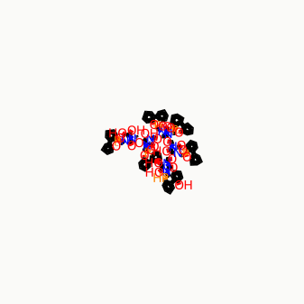 O=C1N(COC2C(O)N(COC3C(OCN4C(=O)N(CP5(=O)Oc6ccccc6-c6ccccc65)C(OCN5C(=O)N(CP6(=O)Oc7ccccc7-c7ccccc76)C(O)C5O)C4O)N(CP4(=O)Oc5ccccc5-c5ccccc54)C(=O)N3CP3(=O)Oc4ccccc4-c4ccccc43)C(=O)N2CP2(=O)Oc3ccccc3-c3ccccc32)C(O)C(O)N1CPc1ccccc1-c1ccccc1O